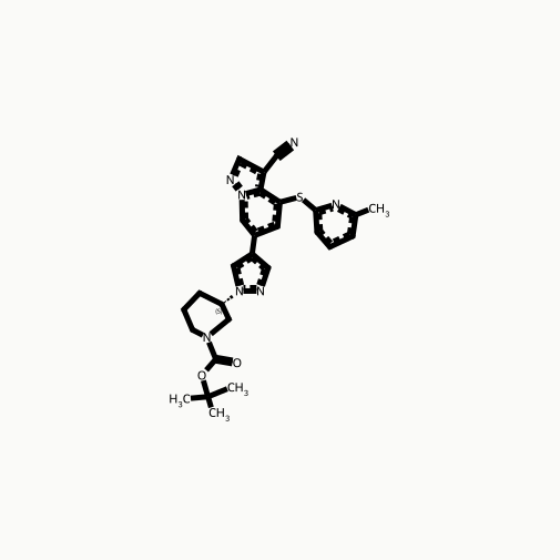 Cc1cccc(Sc2cc(-c3cnn([C@H]4CCCN(C(=O)OC(C)(C)C)C4)c3)cn3ncc(C#N)c23)n1